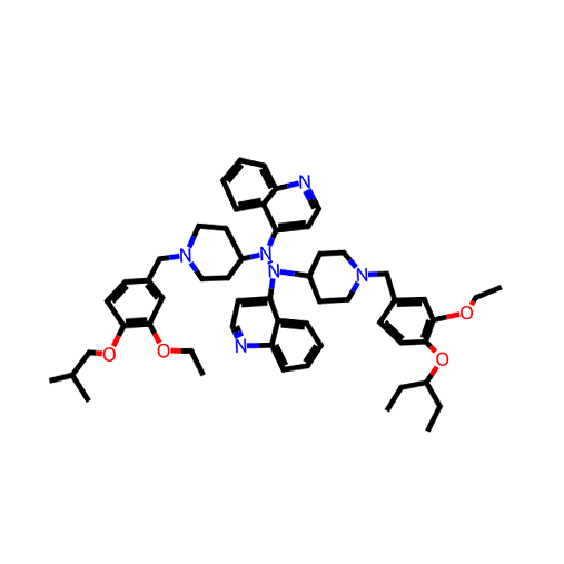 CCOc1cc(CN2CCC(N(c3ccnc4ccccc34)N(c3ccnc4ccccc34)C3CCN(Cc4ccc(OC(CC)CC)c(OCC)c4)CC3)CC2)ccc1OCC(C)C